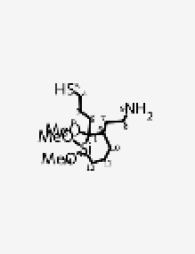 COC1(CCCS)C(CCN)CCC[Si]1(OC)OC